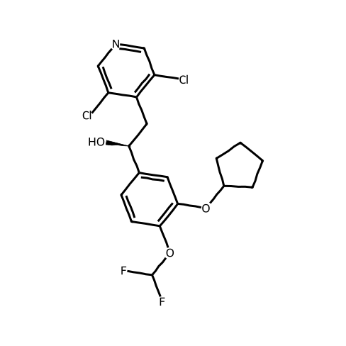 O[C@@H](Cc1c(Cl)cncc1Cl)c1ccc(OC(F)F)c(OC2CCCC2)c1